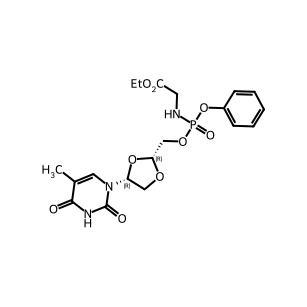 CCOC(=O)CNP(=O)(OC[C@@H]1OC[C@H](n2cc(C)c(=O)[nH]c2=O)O1)Oc1ccccc1